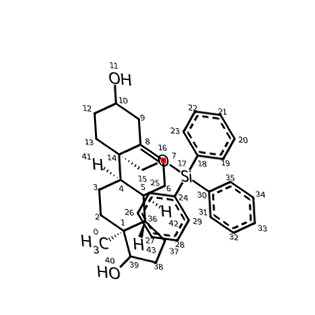 C[C@]12CC[C@@H]3[C@@H](CC=C4CC(O)CC[C@@]43CO[Si](c3ccccc3)(c3ccccc3)c3ccccc3)[C@@H]1CCC2O